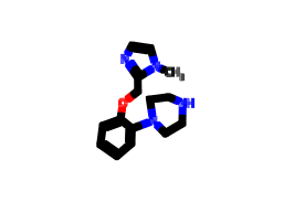 Cn1ccnc1COc1ccccc1N1CCNCC1